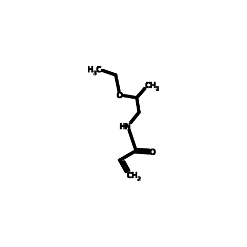 C=CC(=O)NCC(C)OCC